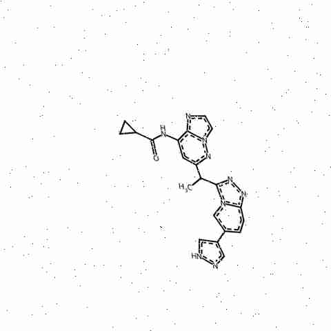 CC(c1cc(NC(=O)C2CC2)c2nccn2n1)c1nnc2ccc(-c3cn[nH]c3)cn12